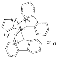 C[Si](C)=[Ti+2]([C]1=CC=CC1)([CH]1c2ccccc2-c2ccccc21)([CH]1c2ccccc2-c2ccccc21)=[Si](C)C.[Cl-].[Cl-]